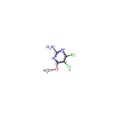 COc1nc(N)nc(Cl)c1Cl